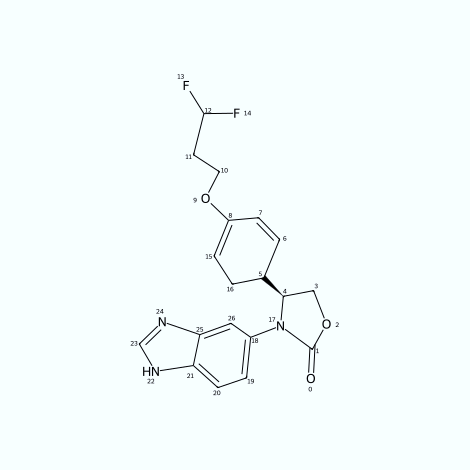 O=C1OC[C@H](C2C=CC(OCCC(F)F)=CC2)N1c1ccc2[nH]cnc2c1